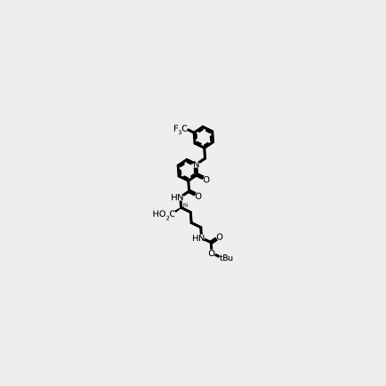 CC(C)(C)OC(=O)NCCC[C@H](NC(=O)c1cccn(Cc2cccc(C(F)(F)F)c2)c1=O)C(=O)O